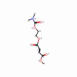 COC(=O)/C=C/C(=O)OCCOC(=O)N(C)C